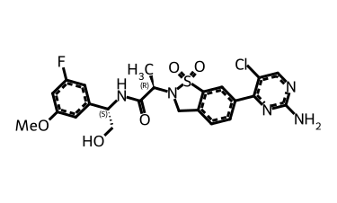 COc1cc(F)cc([C@@H](CO)NC(=O)[C@@H](C)N2Cc3ccc(-c4nc(N)ncc4Cl)cc3S2(=O)=O)c1